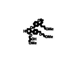 COCCCC1=CC(C)(C)Oc2ccc(CO[C@H]3CNC[C@@H](OC[C@H](O)COC)C3c3ccc(COCCOC)cc3)cc21